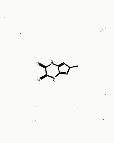 CC1C=c2[nH]c(=O)c(=O)[nH]c2=C1